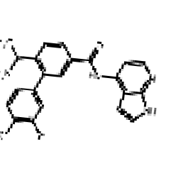 CC(N)c1ccc(C(=O)Nc2ccnc3[nH]ccc23)cc1-c1ccc(Cl)c(Cl)c1